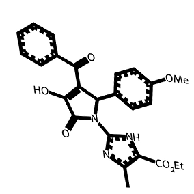 CCOC(=O)c1[nH]c(N2C(=O)C(O)=C(C(=O)c3ccccc3)C2c2ccc(OC)cc2)nc1C